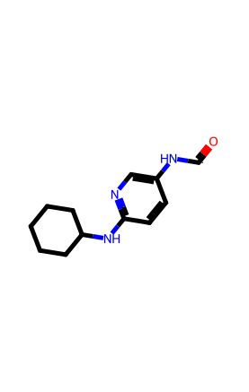 O=[C]Nc1ccc(NC2CCCCC2)nc1